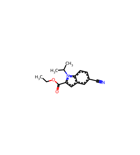 CCOC(=O)c1cc2cc(C#N)ccc2n1C(C)C